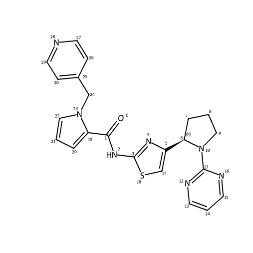 O=C(Nc1nc([C@H]2CCCN2c2ncccn2)cs1)c1cccn1Cc1ccncc1